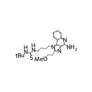 COCCc1nc2c(N)nc3ccccc3c2n1CCCCNC(=S)NC(C)(C)C